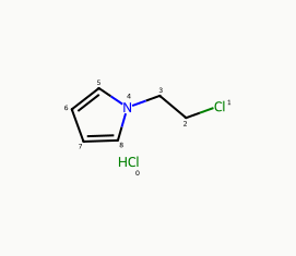 Cl.ClCCn1cccc1